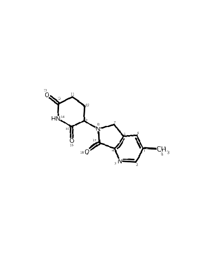 Cc1cnc2c(c1)CN(C1CCC(=O)NC1=O)C2=O